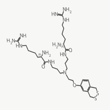 N=C(N)NCCCC[C@@H](N)C(=O)NCCCN(CCCNC(=O)[C@H](N)CCCCNC(=N)N)CCOc1ccc2c(c1)CSSC2